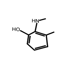 CNc1c(C)cccc1O